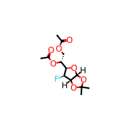 CC(=O)OC[C@@H](OC(C)=O)[C@H]1O[C@@H]2OC(C)(C)O[C@@H]2[C@H]1F